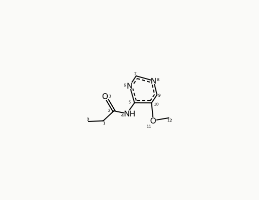 CCC(=O)Nc1ncncc1OC